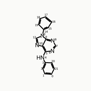 c1ccc(Nc2ncnc3c2ncn3-c2ccccc2)cc1